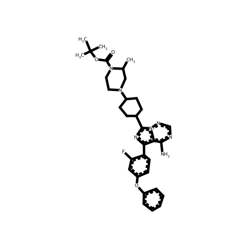 CC1CN(C2CCC(c3nc(-c4ccc(Oc5ccccc5)cc4F)c4c(N)ncnn34)CC2)CCN1C(=O)OC(C)(C)C